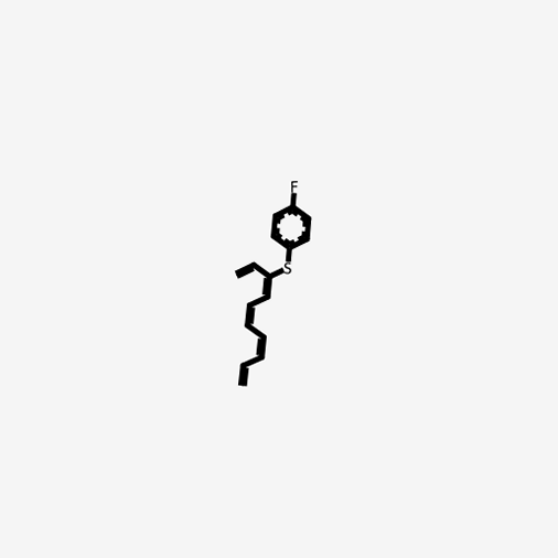 C=C\C=C/C=C\C=C(/C=C)Sc1ccc(F)cc1